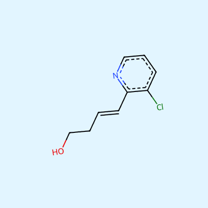 OCCC=Cc1ncccc1Cl